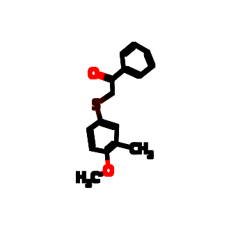 COc1ccc(SCC(=O)c2ccccc2)cc1C